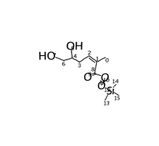 CC(=CCC(O)CO)C(=O)OO[Si](C)(C)C